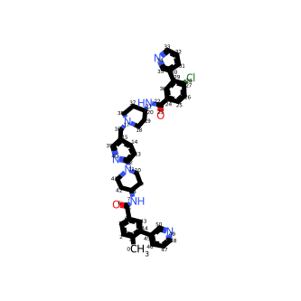 Cc1ccc(C(=O)NC2CCN(c3ccc(CN4CCC(NC(=O)c5ccc(Cl)c(-c6cccnc6)c5)CC4)cn3)CC2)cc1-c1cccnc1